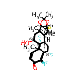 COC(=S)[C@@]12OC(C)(C)O[C@@H]1C[C@H]1[C@@H]3C[C@H](F)C4=C(F)C(=O)C=C[C@]4(C)[C@@]3(F)[C@@H](O)C[C@@]12C